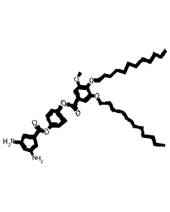 CCCCCCCCCCCCOc1cc(C(=O)Oc2ccc(OC(=O)c3cc(N)cc(N)c3)cc2)cc(OC)c1OCCCCCCCCCCCC